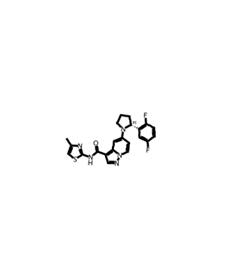 Cc1csc(NC(=O)c2cnn3ccc(N4CCC[C@@H]4c4cc(F)ccc4F)cc23)n1